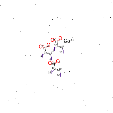 O=C([O-])C(I)=CI.O=C([O-])C(I)=CI.O=C([O-])C(I)=CI.[Ga+3]